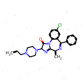 C=CCN1CCN(C2N=C3C(=C)N=C(c4ccccc4)c4cc(Cl)ccc4N3C2=O)CC1